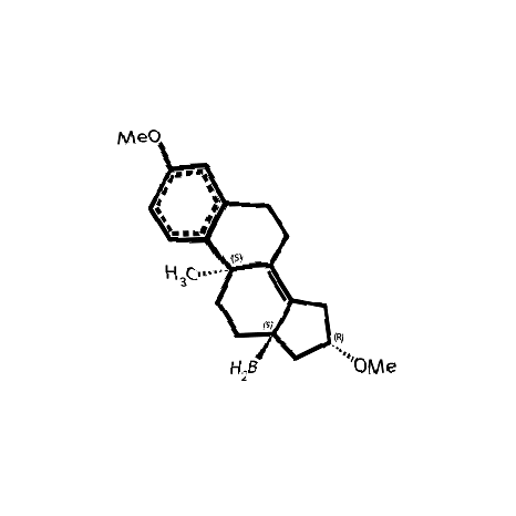 B[C@@]12CC[C@]3(C)C(=C1C[C@H](OC)C2)CCc1cc(OC)ccc13